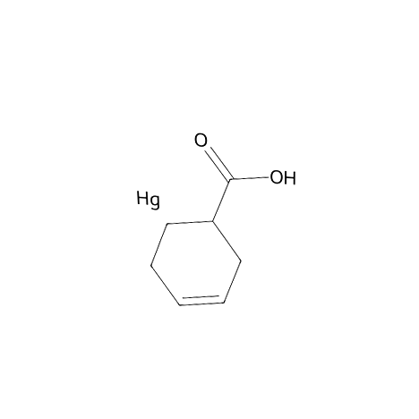 O=C(O)C1CC=CCC1.[Hg]